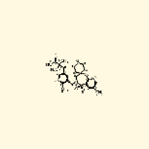 Cc1cnc2c(c1)S(=O)(=O)N(Cc1cc(CC(C)(C)C(=O)O)cnc1C)CC1(CCOCC1)O2